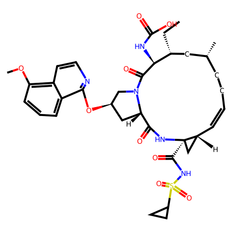 CC[C@@H]1C[C@H](C)CC/C=C\[C@@H]2C[C@@]2(C(=O)NS(=O)(=O)C2CC2)NC(=O)[C@@H]2C[C@@H](Oc3nccc4c(OC)cccc34)CN2C(=O)[C@H]1NC(=O)O